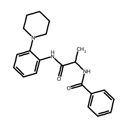 CC(NC(=O)c1ccccc1)C(=O)Nc1ccccc1N1CCCCC1